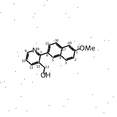 COc1ccc2cc(-c3ncccc3CO)ccc2c1